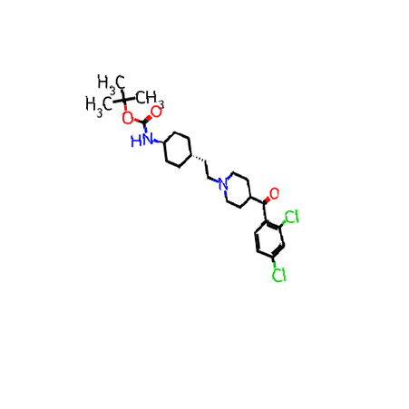 CC(C)(C)OC(=O)N[C@H]1CC[C@H](CCN2CCC(C(=O)c3ccc(Cl)cc3Cl)CC2)CC1